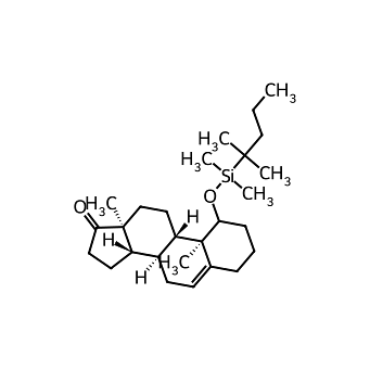 CCCC(C)(C)[Si](C)(C)OC1CCCC2=CC[C@H]3[C@@H]4CCC(=O)[C@@]4(C)CC[C@@H]3[C@]21C